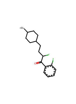 CCCCC1CCC(CCC(F)C(=O)c2ccccc2F)CC1